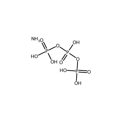 N.O=P(O)(O)OP(=O)(O)OP(=O)(O)O